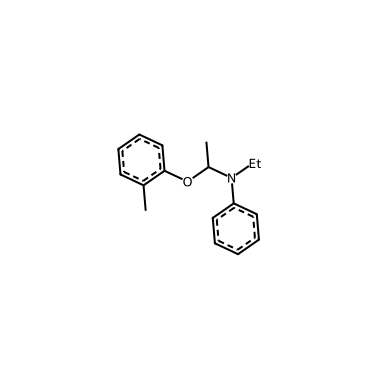 CCN(c1ccccc1)C(C)Oc1ccccc1C